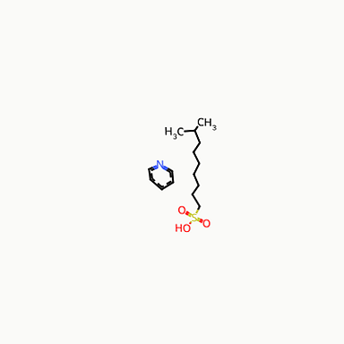 CC(C)CCCCCCCS(=O)(=O)O.c1ccncc1